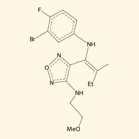 CC/C(C)=C(/Nc1ccc(F)c(Br)c1)c1nonc1NCCOC